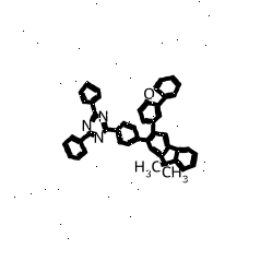 CC1(C)c2ccccc2-c2cc(-c3ccc4oc5ccccc5c4c3)c(-c3ccc(-c4nc(-c5ccccc5)nc(-c5ccccc5)n4)cc3)cc21